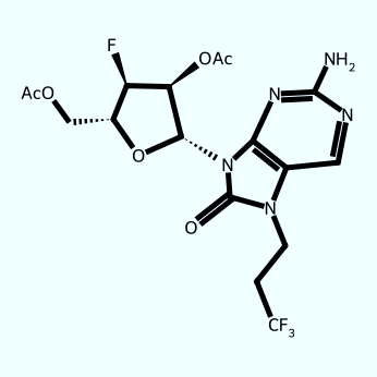 CC(=O)OC[C@H]1O[C@@H](n2c(=O)n(CCC(F)(F)F)c3cnc(N)nc32)[C@H](OC(C)=O)[C@@H]1F